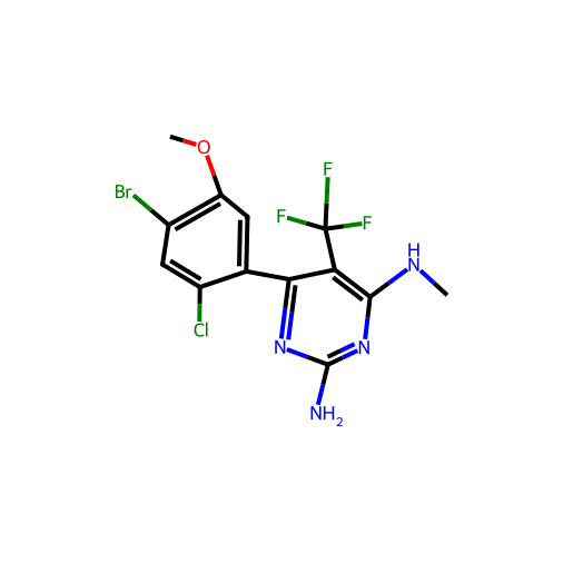 CNc1nc(N)nc(-c2cc(OC)c(Br)cc2Cl)c1C(F)(F)F